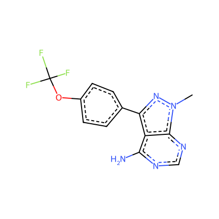 Cn1nc(-c2ccc(OC(F)(F)F)cc2)c2c(N)ncnc21